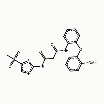 COc1ccccc1Oc1ccccc1NC(=O)CC(=O)Nc1ncc(S(C)(=O)=O)s1